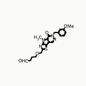 COc1cccc(Cn2ncc3c4sc(COCCCC=O)nc4n(C)c3c2=O)c1